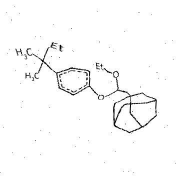 CCOC(Oc1ccc(C(C)(C)CC)cc1)C12CC3CC(CC(C3)C1)C2